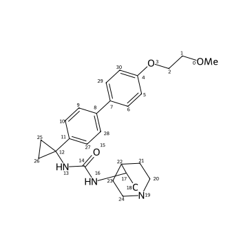 COCCOc1ccc(-c2ccc(C3(NC(=O)NC4CN5CCC4CC5)CC3)cc2)cc1